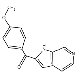 COc1ccc(C(=O)c2cc3ccncc3[nH]2)cc1